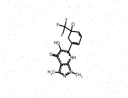 Cc1nn(C)c2[nH]c(C3=CC=CC(Cl)(C(F)(F)F)C3)c(O)c(=O)c12